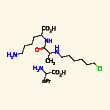 CC(NCCCCCCCl)C(=O)NC(CCCCN)C(=O)O.CCCC(N)C(=O)O